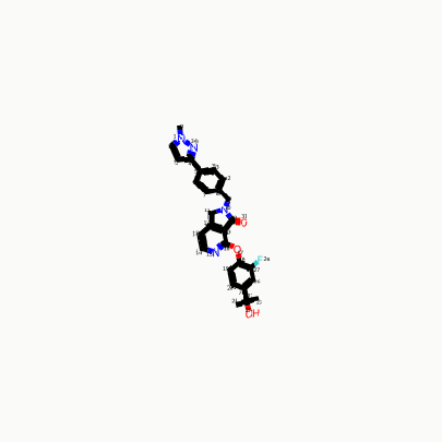 Cn1ccc(-c2ccc(CN3Cc4ccnc(Oc5ccc(C(C)(C)O)cc5F)c4C3=O)cc2)n1